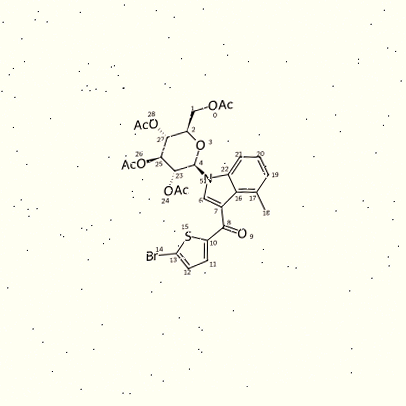 CC(=O)OC[C@H]1O[C@@H](n2cc(C(=O)c3ccc(Br)s3)c3c(C)cccc32)[C@H](OC(C)=O)[C@@H](OC(C)=O)[C@@H]1OC(C)=O